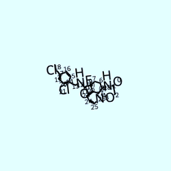 O=C1COC[C@]2(CC[C@@](F)(C(=O)NCc3ccc(Cl)cc3Cl)c3cccnc32)N1